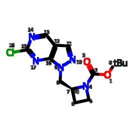 CC(C)(C)OC(=O)N1CC[C@H]1Cn1ncc2cnc(Cl)nc21